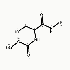 CCCNC(=O)C(CO)NC(=O)OC(C)(C)C